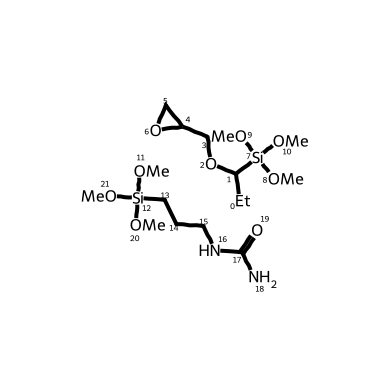 CCC(OCC1CO1)[Si](OC)(OC)OC.CO[Si](CCCNC(N)=O)(OC)OC